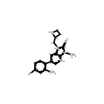 Cc1cc(F)ccc1-c1cnc2c(c1)n(CC1CCO1)c(=O)n2C